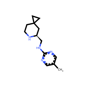 Cc1cnc(NC[C@@H]2CC3(CCN2)CC3)nc1